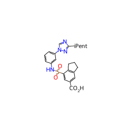 CCCC(C)c1ncn(-c2cccc(NS(=O)(=O)c3cc(C(=O)O)cc4c3CCC4)c2)n1